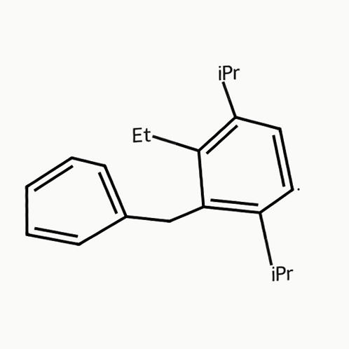 CCc1c(C(C)C)c[c]c(C(C)C)c1Cc1ccccc1